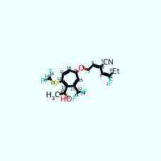 CC/C(F)=C\C(C#N)=C/COC1C=CC(SC(F)F)=C(C(C)O)C(C(F)F)=C1